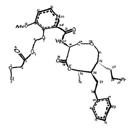 CCOCC(=O)OCOc1c(OC)ccnc1C(=O)N[C@H]1COC[C@H](CCC(C)C)[C@@H](CCc2ccccc2)[C@H](C)OC1=O